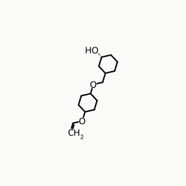 C=COC1CCC(OCC2CCC[C@@H](O)C2)CC1